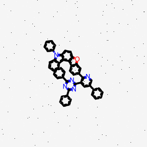 c1ccc(-c2cnc(-c3ccc4c(c3)oc3ccc5c(c6ccccc6n5-c5ccccc5)c34)c(-c3nc(-c4ccccc4)nc(-c4ccccc4)n3)c2)cc1